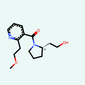 COCCc1ncccc1C(=O)N1CCC[C@H]1CCO